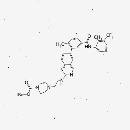 Cc1ccc(C(=O)Nc2cccc(C(F)(F)F)c2C)cc1-c1ccc2nc(NCCN3CCN(C(=O)OC(C)(C)C)CC3)ncc2c1